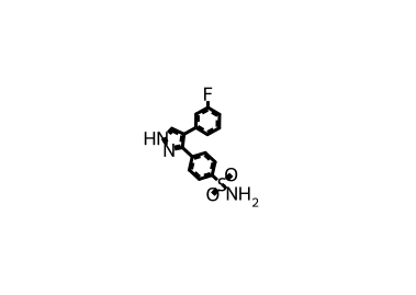 NS(=O)(=O)c1ccc(-c2n[nH]cc2-c2cccc(F)c2)cc1